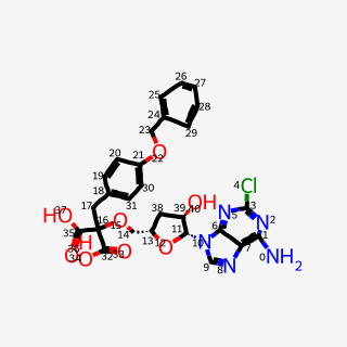 Nc1nc(Cl)nc2c1ncn2[C@@H]1O[C@H](COC(Cc2ccc(OCc3ccccc3)cc2)(C(=O)O)C(=O)O)C[C@H]1O